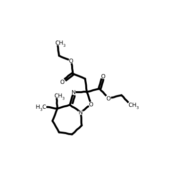 CCOC(=O)CC1(C(=O)OCC)N=C2N(CCCCC2(C)C)O1